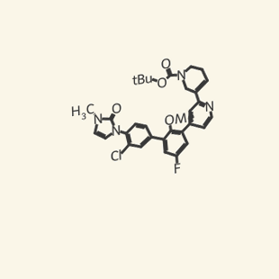 COc1c(-c2ccnc(C3=CCCN(C(=O)OC(C)(C)C)C3)c2)cc(F)cc1-c1ccc(-n2ccn(C)c2=O)c(Cl)c1